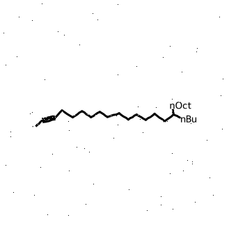 [CH2]C#CCCCCCCCCCCCCC(CCCC)CCCCCCC[CH2]